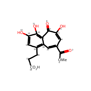 COC(=O)c1cc(O)c(=O)c2c(O)c(O)cc(CCC(=O)O)c2c1